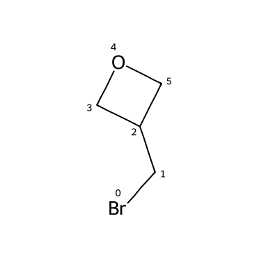 BrCC1COC1